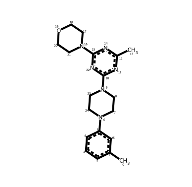 Cc1cccc(N2CCN(c3nc(C)nc(N4CCOCC4)n3)CC2)c1